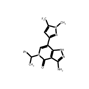 CC(C)C(C)n1cc(-c2cc(C(F)(F)F)n(C)n2)c2[nH]nc(N)c2c1=O